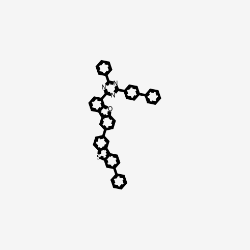 c1ccc(-c2ccc(-c3nc(-c4ccccc4)nc(-c4cccc5c4oc4ccc(-c6ccc7sc8cc(-c9ccccc9)ccc8c7c6)cc45)n3)cc2)cc1